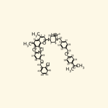 Br.CC(=CC(=O)N1CCN(Cc2ccc(COc3ccc(C(C)C)cc3)cc2)CC1)c1cc(C)c(Oc2ccc(OCc3ccccc3Cl)cn2)c(Cl)c1